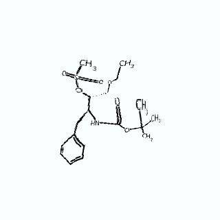 CCOC[C@@H](OS(C)(=O)=O)[C@H](Cc1ccccc1)NC(=O)OC(C)(C)C